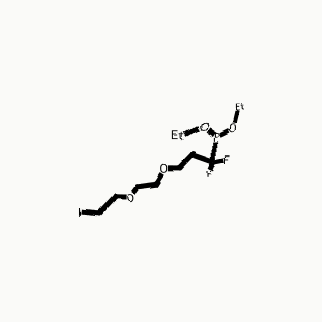 CCOP(OCC)C(F)(F)CCOCCOCCI